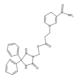 NC(=O)C1=CN(CCC(=O)OCN2C(=O)NC(c3ccccc3)(c3ccccc3)C2=O)C=CC1